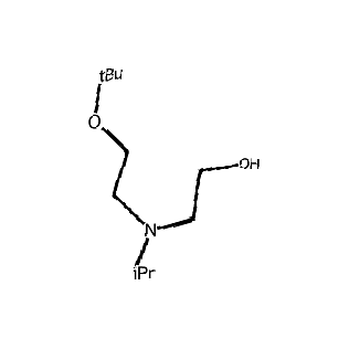 CC(C)N(CCO)CCOC(C)(C)C